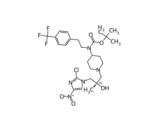 CC(C)(C)OC(=O)N(CCc1ccc(C(F)(F)F)cc1)C1CCN(C[C@](C)(O)Cn2cc([N+](=O)[O-])nc2Cl)CC1